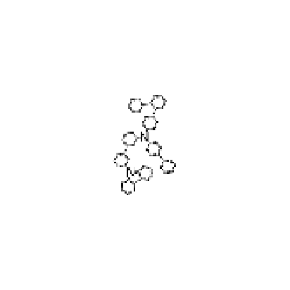 c1ccc(-c2ccc(N(c3ccc(-c4ccccc4-c4ccccc4)cc3)c3cccc(-c4cccc(-n5c6ccccc6c6ccccc65)c4)c3)cc2)cc1